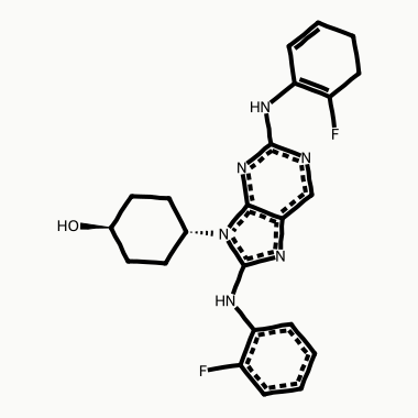 O[C@H]1CC[C@H](n2c(Nc3ccccc3F)nc3cnc(NC4=C(F)CCC=C4)nc32)CC1